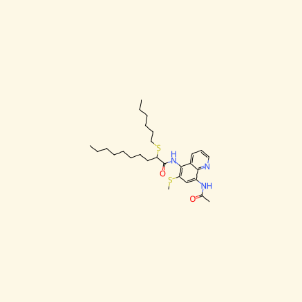 CCCCCCCCC(SCCCCCC)C(=O)Nc1c(SC)cc(NC(C)=O)c2ncccc12